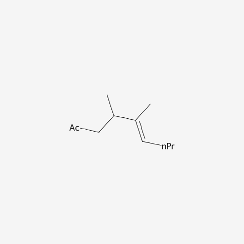 CCC/C=C(\C)C(C)CC(C)=O